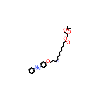 CC1(C)OCC(COC(=O)CCCCCCC/C=C\CCOc2ccc(/N=N/c3ccccc3)cc2)O1